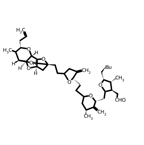 C=CC[C@@H]1O[C@H]2[C@H]3O[C@]4(CCC5CC(=C)[C@H](CCC6C[C@@H](C)C(=C)[C@@H](CC7O[C@H](C[C@H](C)CC)[C@H](C)[C@H]7CC=O)O6)O5)C[C@H]3O[C@H]2[C@@H](O4)C1C